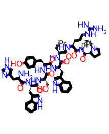 CCCN(C(=O)[C@H](CCCNC(=N)N)NC(=O)[C@H](CC(C)C)NC(=O)[C@@H](Cc1c[nH]c2ccccc12)NC(=O)[C@H](Cc1ccc(O)cc1)NC(=O)[C@H](CO)NC(=O)[C@H](Cc1c[nH]c2ccccc12)NC(=O)[C@@H](N)Cc1c[nH]cn1)C(=O)[C@@H]1CCCN1CC